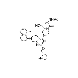 C=C(NC(C)=O)C(=C)N1CCN(c2nc(OC[C@@H]3CCCN3C)nc3c2CCN(c2cccc4cccc(C)c24)C3)C[C@@H]1CC#N